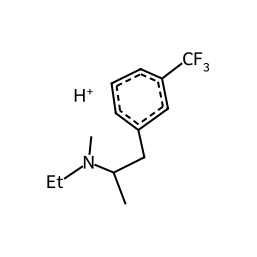 CCN(C)C(C)Cc1cccc(C(F)(F)F)c1.[H+]